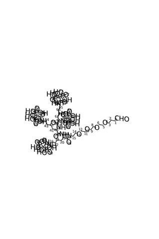 O=CCCCOCCOCCOCCOCCNC(=O)C(CCCCNC(=O)C(O)(P(=O)(O)O)P(=O)(O)O)NC(=O)C(CCCCNC(=O)C(O)(P(=O)(O)O)P(=O)(O)O)NC(=O)C(CCCCNC(=O)C(O)(P(=O)(O)O)P(=O)(O)O)NC(=O)C(O)(P(=O)(O)O)P(=O)(O)O